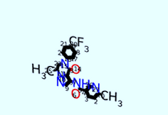 Cc1ccc(C(=O)Nc2cnn3c2C(=O)N(c2ccc(C(F)(F)F)cc2)C[C@@H]3C)cn1